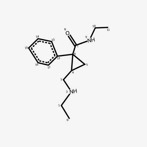 CCNCC1CC1(C(=O)NCC)c1ccccc1